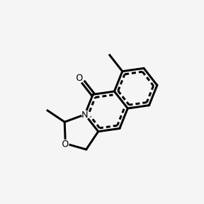 Cc1cccc2cc3n(c(=O)c12)C(C)OC3